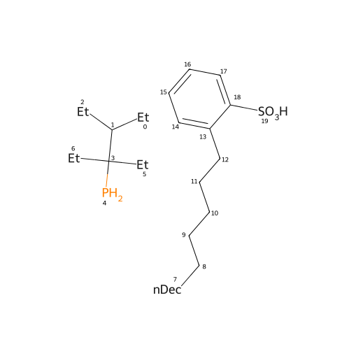 CCC(CC)C(P)(CC)CC.CCCCCCCCCCCCCCCc1ccccc1S(=O)(=O)O